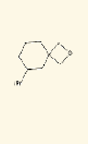 CC(C)C1CCCC2(COC2)C1